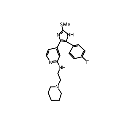 CSc1nc(-c2ccnc(NCCN3CCCCC3)c2)c(-c2ccc(F)cc2)[nH]1